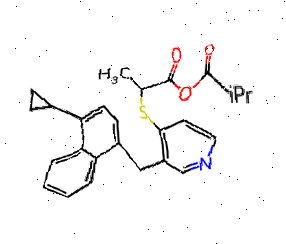 CC(C)C(=O)OC(=O)C(C)Sc1ccncc1Cc1ccc(C2CC2)c2ccccc12